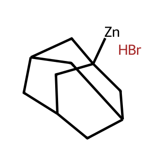 Br.[Zn][C]12CC3CC(CC(C3)C1)C2